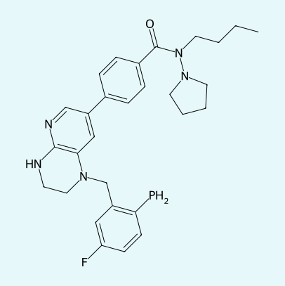 CCCCN(C(=O)c1ccc(-c2cnc3c(c2)N(Cc2cc(F)ccc2P)CCN3)cc1)N1CCCC1